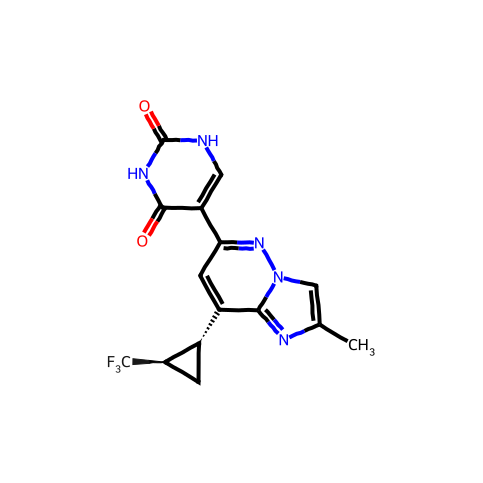 Cc1cn2nc(-c3c[nH]c(=O)[nH]c3=O)cc([C@@H]3C[C@H]3C(F)(F)F)c2n1